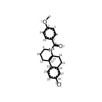 COc1ccc(C(=O)N2CCCC3=C2CCc2cc(Cl)ccc23)cc1